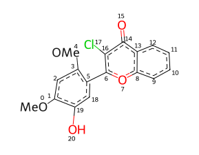 COc1cc(OC)c(-c2oc3ccccc3c(=O)c2Cl)cc1O